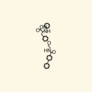 O=C(NCCOc1ccc(CC(Nc2ccccc2)C(=O)O)cc1)c1ccc(-c2ccccc2)cc1